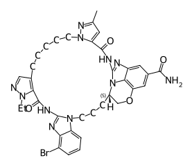 CCn1ncc2c1C(=O)Nc1nc3c(Br)cccc3n1CCC[C@H]1COc3cc(C(N)=O)cc4nc(n1c34)NC(=O)c1cc(C)nn1CCCCC2